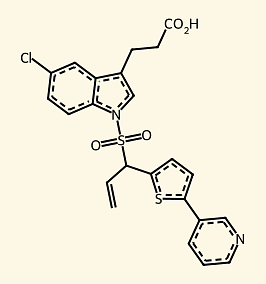 C=CC(c1ccc(-c2cccnc2)s1)S(=O)(=O)n1cc(CCC(=O)O)c2cc(Cl)ccc21